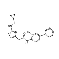 O=C(Cc1csc(NSC2CC2)n1)Nc1ccc(-c2cccnc2)cc1Cl